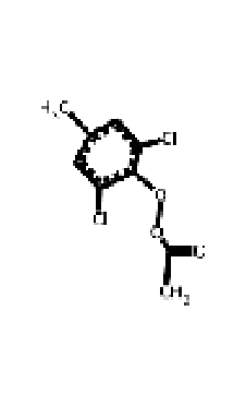 CC(=O)OOc1c(Cl)cc(C)cc1Cl